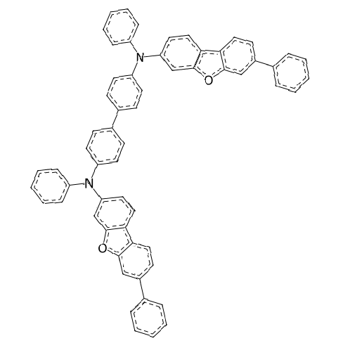 c1ccc(-c2ccc3c(c2)oc2cc(N(c4ccccc4)c4ccc(-c5ccc(N(c6ccccc6)c6ccc7c(c6)oc6cc(-c8ccccc8)ccc67)cc5)cc4)ccc23)cc1